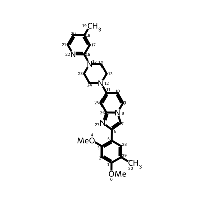 COc1cc(OC)c(-c2cn3ccc(N4CCN(c5cc(C)ccn5)CC4)cc3n2)cc1C